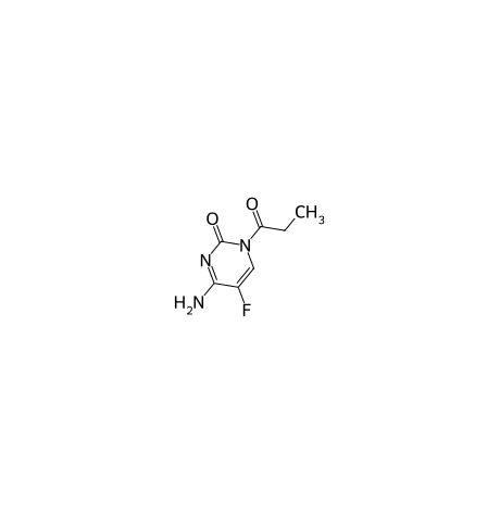 CCC(=O)n1cc(F)c(N)nc1=O